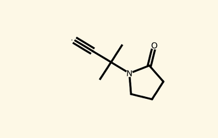 [C]#CC(C)(C)N1CCCC1=O